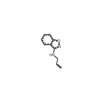 C=CCNc1noc2ccccc12